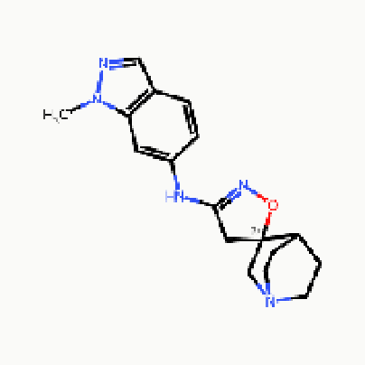 Cn1ncc2ccc(NC3=NO[C@@]4(C3)CN3CCC4CC3)cc21